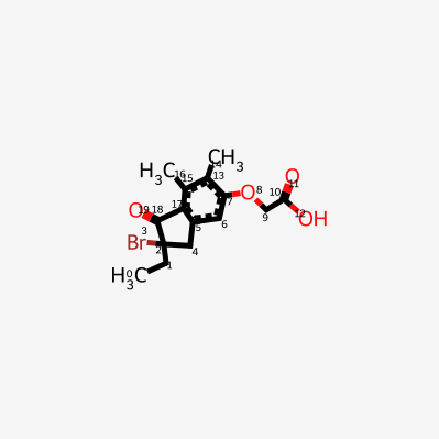 CCC1(Br)Cc2cc(OCC(=O)O)c(C)c(C)c2C1=O